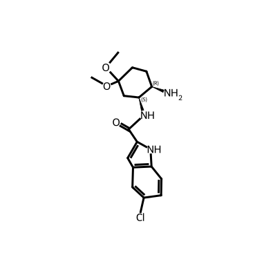 COC1(OC)CC[C@@H](N)[C@@H](NC(=O)c2cc3cc(Cl)ccc3[nH]2)C1